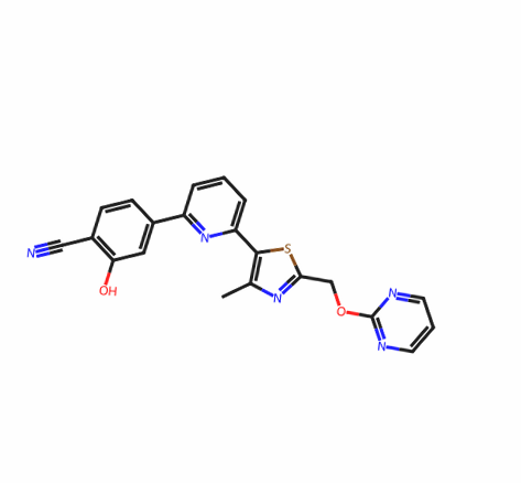 Cc1nc(COc2ncccn2)sc1-c1cccc(-c2ccc(C#N)c(O)c2)n1